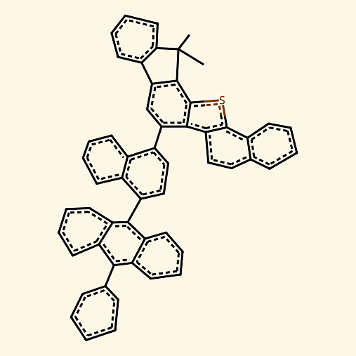 CC1(C)c2ccccc2-c2cc(-c3ccc(-c4c5ccccc5c(-c5ccccc5)c5ccccc45)c4ccccc34)c3c(sc4c5ccccc5ccc43)c21